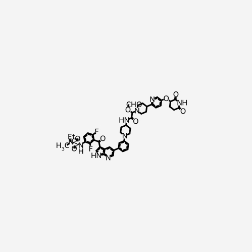 CCN(C)S(=O)(=O)Nc1ccc(F)c(C(=O)c2c[nH]c3ncc(-c4cccc(N5CCC(NC(=O)C(OC=O)N6CCC(c7ccc(OC8CCC(=O)NC8=O)cn7)CC6)CC5)c4)cc23)c1F